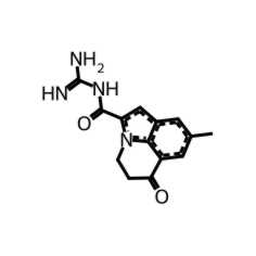 Cc1cc2c3c(c1)cc(C(=O)NC(=N)N)n3CCC2=O